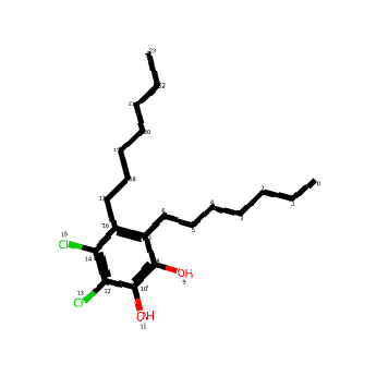 CCCCCCCc1c(O)c(O)c(Cl)c(Cl)c1CCCCCCC